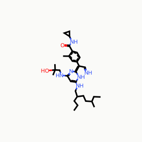 CCCC(CCC(C)CC)CNC1=CC(NCC(C)(C)O)=N/C(=C(/C=N)c2ccc(C(=O)NC3CC3)c(C)c2)N1